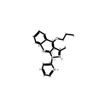 CCCOc1c2ccccc2nc2c1c(C)nn2-c1ccccn1